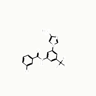 Cc1cn(-c2cc(NC(=O)c3cccc(Cl)c3)cc(C(F)(F)F)c2)cn1